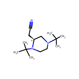 CC(C)(C)N1CCN(C(C)(C)C)[C@@H](CC#N)C1